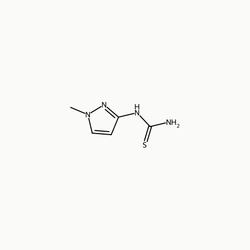 Cn1ccc(NC(N)=S)n1